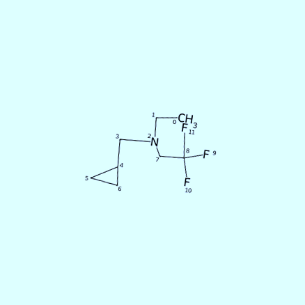 CCN(CC1CC1)CC(F)(F)F